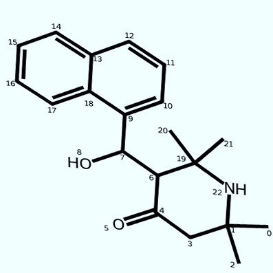 CC1(C)CC(=O)C(C(O)c2cccc3ccccc23)C(C)(C)N1